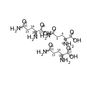 NC(=O)CC[C@H](N)C(=O)O.NC(=O)CC[C@H](N)C(=O)O.NC(=O)CC[C@H](N)C(=O)O